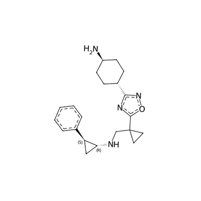 N[C@H]1CC[C@H](c2noc(C3(CN[C@@H]4C[C@H]4c4ccccc4)CC3)n2)CC1